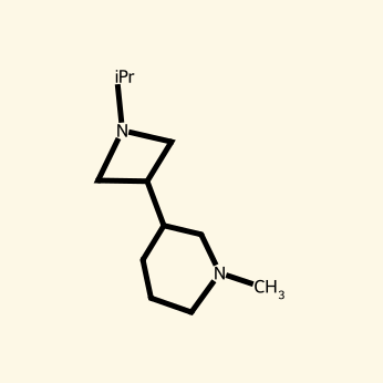 CC(C)N1CC(C2CCCN(C)C2)C1